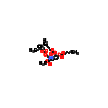 CCCCCOC(=O)Oc1ccc(C[C@H](NCCOC(=O)OCC(C)CC)C(=O)OC)cc1OC(=O)OCCCCC